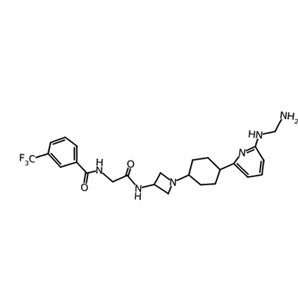 NCNc1cccc(C2CCC(N3CC(NC(=O)CNC(=O)c4cccc(C(F)(F)F)c4)C3)CC2)n1